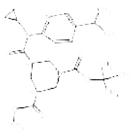 COC(=O)[C@H]1C[C@@H](C(=O)N(c2ccc(C(C)C)cn2)C2CC2)CN(C(=O)OC(C)(C)C)C1